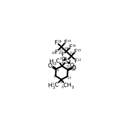 CC1(C)CC(=O)C(C)(S(=O)(=O)C(F)(F)C(F)(F)C(F)(F)F)C(=O)C1